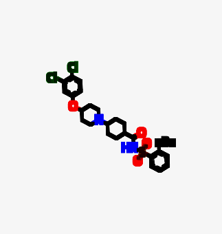 CCCCc1ccccc1S(=O)(=O)NC(=O)C1CCC(N2CCC(Oc3ccc(Cl)c(Cl)c3)CC2)CC1